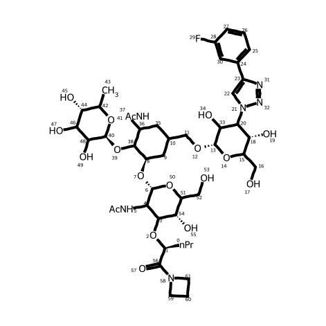 CCC[C@H](OC1C(NC(C)=O)[C@H](O[C@@H]2CC(CO[C@H]3OC(CO)[C@@H](O)C(n4cc(-c5cccc(F)c5)nn4)C3O)CC(NC(C)=O)C2O[C@@H]2OC(C)[C@@H](O)C(O)C2O)OC(CO)[C@@H]1O)C(=O)N1CCC1